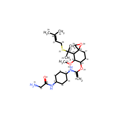 C=C(NC1CCC(NC(=O)CN)CC1)OC1CC[C@]2(CO2)C(C(C)(C)SCC=C(C)C)C1OC